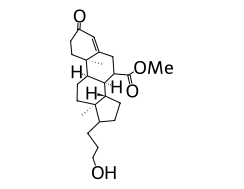 COC(=O)C1CC2=CC(=O)CC[C@]2(C)[C@@H]2CC[C@]3(C)C(CCCO)CC[C@H]3[C@H]12